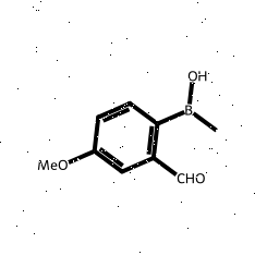 COc1ccc(B(C)O)c(C=O)c1